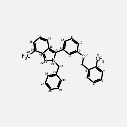 FC(F)(F)c1ccccc1COc1cccc(-c2c3cccc(C(F)(F)F)c3nn2Cc2ccccc2)c1